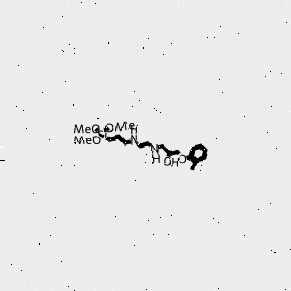 CO[Si](CCCNCCNCC(O)COc1ccccc1C)(OC)OC